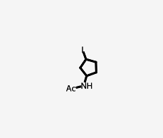 CC(=O)NC1CCC(I)C1